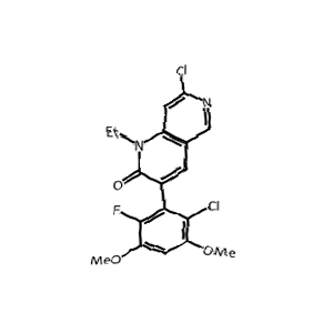 CCn1c(=O)c(-c2c(F)c(OC)cc(OC)c2Cl)cc2cnc(Cl)cc21